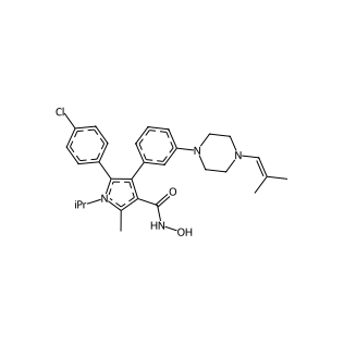 CC(C)=CN1CCN(c2cccc(-c3c(C(=O)NO)c(C)n(C(C)C)c3-c3ccc(Cl)cc3)c2)CC1